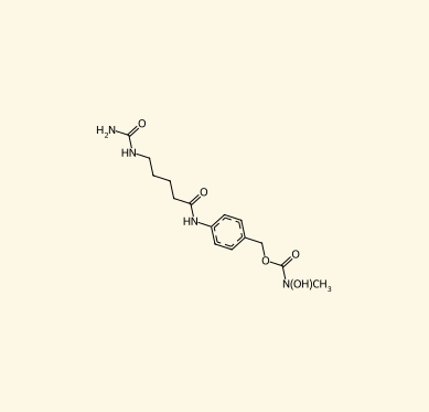 CN(O)C(=O)OCc1ccc(NC(=O)CCCCNC(N)=O)cc1